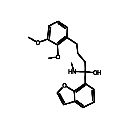 CNC(O)(CCCc1cccc(OC)c1OC)c1cccc2ccoc12